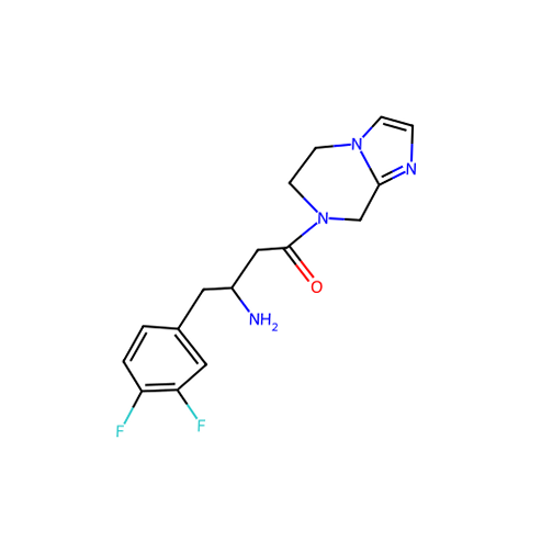 NC(CC(=O)N1CCn2ccnc2C1)Cc1ccc(F)c(F)c1